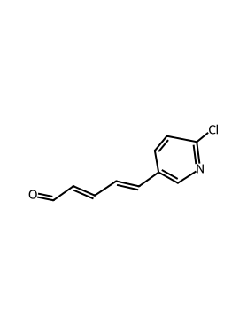 O=CC=CC=Cc1ccc(Cl)nc1